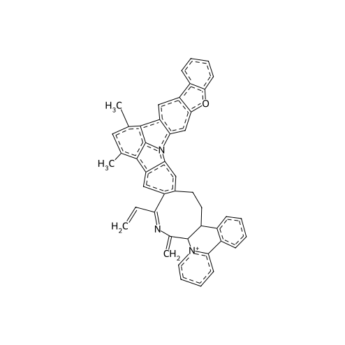 C=C/C1=N/C(=C)C2C(CCc3cc4c(cc31)c1c(C)cc(C)c3c5cc6c(cc5n4c13)oc1ccccc16)c1ccccc1-c1cccc[n+]12